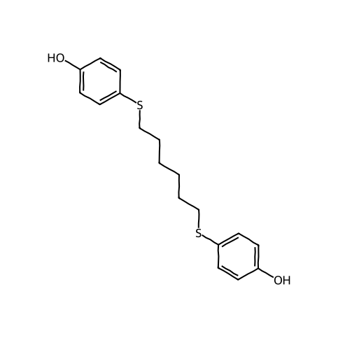 Oc1ccc(SCCCCCCSc2ccc(O)cc2)cc1